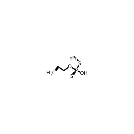 C=CCOP(O)(=S)SCCC